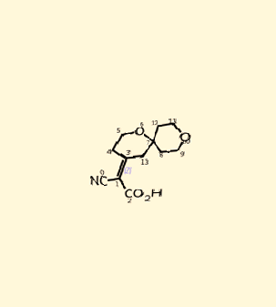 N#C/C(C(=O)O)=C1\CCOC2(CCOCC2)C1